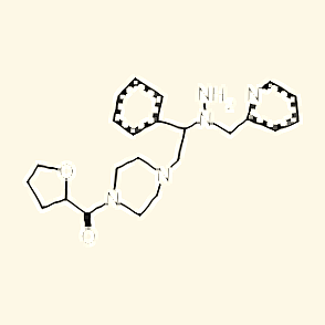 NN(Cc1ccccn1)C(CN1CCN(C(=O)C2CCCO2)CC1)c1ccccc1